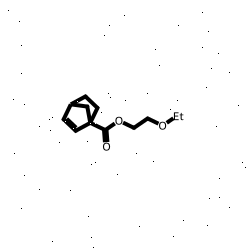 CCOCCOC(=O)C12C=CC(CC1)C2